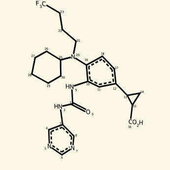 O=C(Nc1cncnc1)Nc1cc(C2CC2C(=O)O)ccc1N(CCCC(F)(F)F)C1CCCCC1